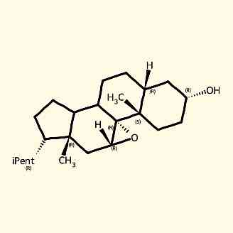 CCC[C@@H](C)C1CCC2C3CC[C@@H]4C[C@H](O)CC[C@]4(C)[C@]34O[C@@H]4C[C@@]21C